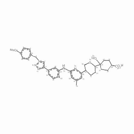 COc1ccc(Cn2cc(-c3ccnc(Nc4cc(C)cc(C5CCC(C6(O)CCC(C(=O)O)CC6)SC5)n4)c3)nn2)cc1